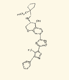 O=C(O)C1(CN[C@@H]2COc3cc(-c4noc(-c5onc(-c6ccccc6)c5C(F)(F)F)n4)ccc3[C@H]2O)CCCC1